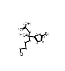 O=C(O)CC(O)(CCCCCl)c1ccc(Br)s1